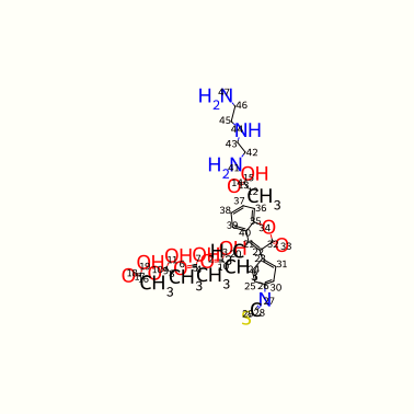 CC(=O)O.CC(=O)O.CC(=O)O.CC(=O)O.CC(=O)O.Cc1c(-c2ccc(N=C=S)cc2)c(=O)oc2ccccc12.NCCNCCN